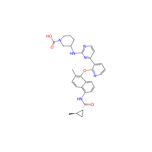 Cc1ccc2c(NC(=O)[C@@H]3C[C@H]3C)cccc2c1Oc1ncccc1-c1ccnc(NC2CCCN(C(=O)O)C2)n1